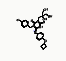 O=c1[nH]/c(=N\c2ccc(OC3CCC3)cc2)n(Cc2ccc(Cl)cc2)c(=O)n1CC(O)(CO)CO